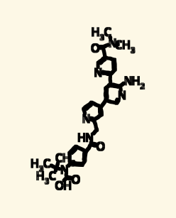 CN(C)C(=O)c1ccc(-c2cc(-c3ccnc(CNC(=O)c4ccc(N(C(=O)O)C(C)(C)C)cc4)c3)cnc2N)nc1